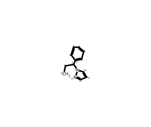 [CH2]CC(c1ccccc1)n1cccn1